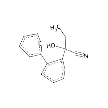 CCC(O)(C#N)c1ccccc1-c1ccccc1